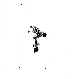 COc1nc(N)nc2c1ncn2C1O[C@H](CO[PH](=O)OCCCC(=O)NCc2ccc(F)cc2)[C@H]2OB(c3ccccc3)O[C@@]12C